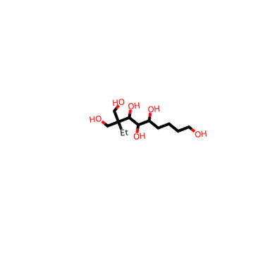 CCC(CO)(CO)C(O)C(O)C(O)CCCCO